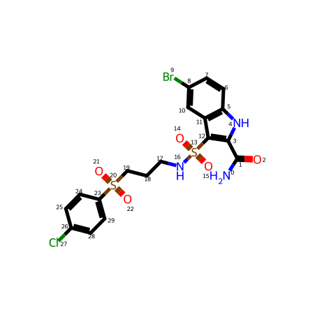 NC(=O)c1[nH]c2ccc(Br)cc2c1S(=O)(=O)NCCCS(=O)(=O)c1ccc(Cl)cc1